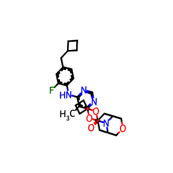 Cc1c(Nc2ccc(CC3CCC3)cc2F)ncnc1OC1CC2COCC(C1)N2C(=O)OC1CCC1